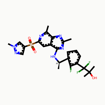 Cc1nc(N[C@H](C)c2cccc(C(F)(F)C(C)(C)O)c2F)c2cc(S(=O)(=O)c3cnn(C)c3)nc(C)c2n1